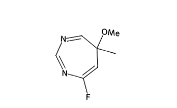 COC1(C)C=NC=NC(F)=C1